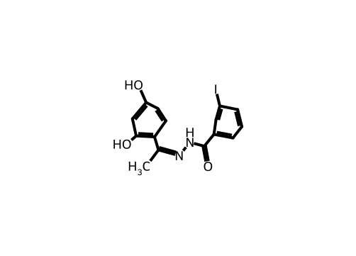 CC(=NNC(=O)c1cccc(I)c1)c1ccc(O)cc1O